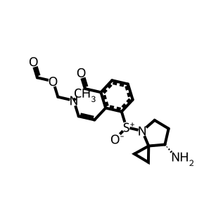 CN(/C=C\c1c(C=O)cccc1[S+]([O-])N1CC[C@H](N)C12CC2)COC=O